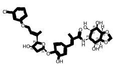 CC(=Cc1ccc(O[C@H]2C[C@H](O)[C@@H](C(C)=CCOc3cccc(Cl)c3)O2)c(O)c1)C(=O)N[C@@H]1[C@H](O)[C@@H](O)[C@H]2OCO[C@H]2[C@@H]1O